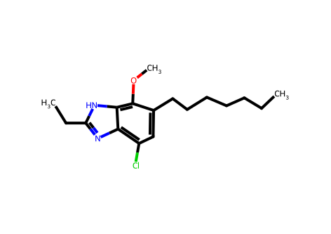 CCCCCCCc1cc(Cl)c2nc(CC)[nH]c2c1OC